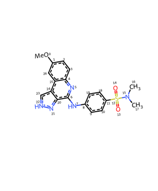 COc1ccc2nc(Nc3ccc(S(=O)(=O)N(C)C)cc3)c3n[nH]cc3c2c1